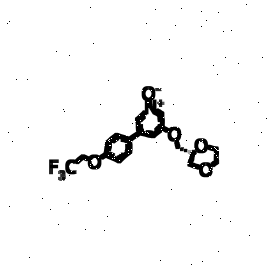 [O-][n+]1cc(OC[C@H]2COCCO2)cc(-c2ccc(OCC(F)(F)F)cc2)c1